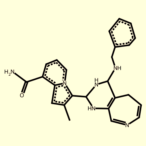 Cc1cc2c(C(N)=O)cccn2c1C1NC2=C(CC=CN=C2)C(NCc2ccccc2)N1